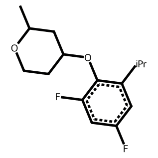 CC1CC(Oc2c(F)cc(F)cc2C(C)C)CCO1